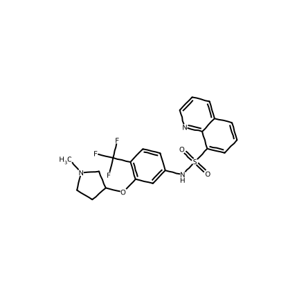 CN1CCC(Oc2cc(NS(=O)(=O)c3cccc4cccnc34)ccc2C(F)(F)F)C1